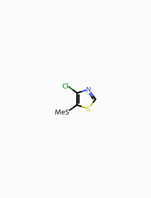 CSc1scnc1Cl